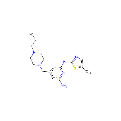 Cc1cnc(Nc2cc(CN3CCN(CCC#N)CC3)cc(N)n2)s1